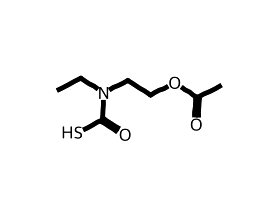 CCN(CCOC(C)=O)C(=O)S